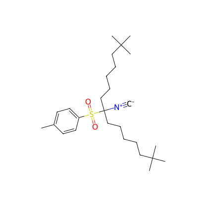 [C-]#[N+]C(CCCCCC(C)(C)C)(CCCCCC(C)(C)C)S(=O)(=O)c1ccc(C)cc1